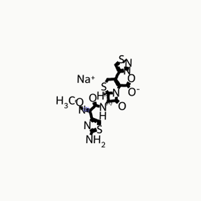 CO/N=C(\C(=O)N[C@@H]1C(=O)N2C(C(=O)[O-])=C(c3csnn3)CS[C@@H]12)c1csc(N)n1.[Na+]